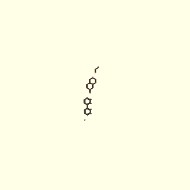 CCCCOC1CCC2CC(COc3ccc(-c4ccc(OCC)c(F)c4F)c(F)c3F)CCC2C1